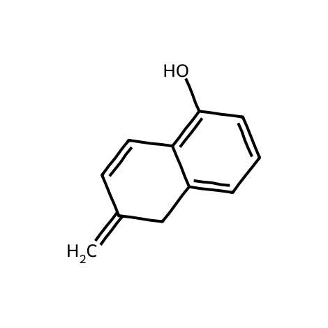 C=C1C=Cc2c(O)cccc2C1